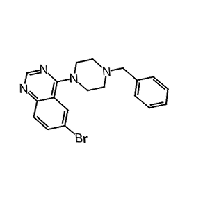 Brc1ccc2ncnc(N3CCN(Cc4ccccc4)CC3)c2c1